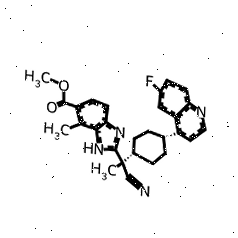 COC(=O)c1ccc2nc(C(C)(C#N)[C@H]3CC[C@@H](c4ccnc5ccc(F)cc54)CC3)[nH]c2c1C